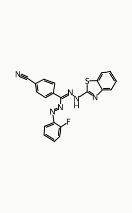 N#Cc1ccc(C(N=Nc2ccccc2F)=NNc2nc3ccccc3s2)cc1